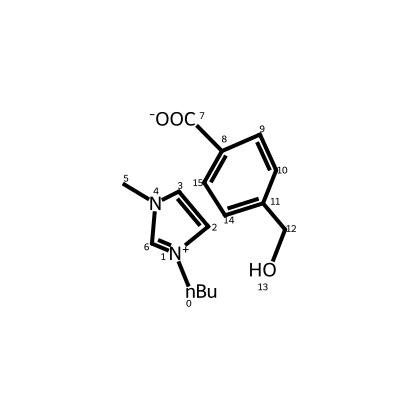 CCCC[n+]1ccn(C)c1.O=C([O-])c1ccc(CO)cc1